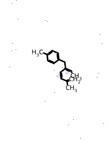 C=C(C)/C=C\C(=C/C)Cc1ccc(C)cc1